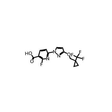 O=C(O)c1ccc(-n2ccc(OCC3(C(F)(F)F)CC3)n2)nc1F